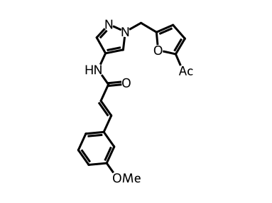 COc1cccc(/C=C/C(=O)Nc2cnn(Cc3ccc(C(C)=O)o3)c2)c1